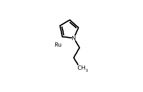 CCCn1cccc1.[Ru]